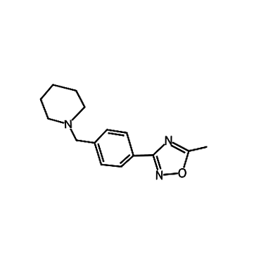 Cc1nc(-c2ccc(CN3CCCCC3)cc2)no1